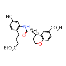 CCOC(=O)CCCc1ccc(C#N)cc1NC(=O)[C@@H]1C[C@]12CCOc1ccc(C(=O)O)cc12